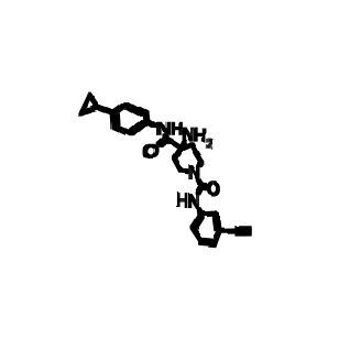 C#Cc1cccc(NC(=O)N2CCC(N)(C(=O)Nc3ccc(C4CC4)cc3)CC2)c1